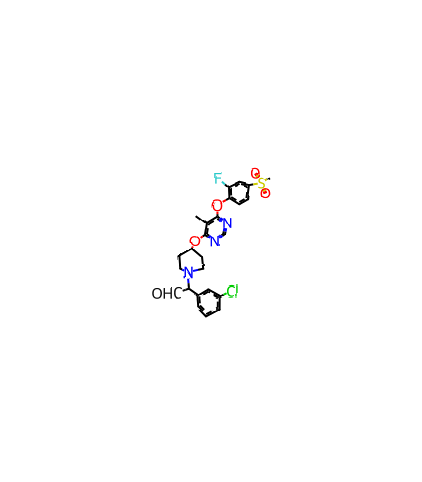 Cc1c(Oc2ccc(S(C)(=O)=O)cc2F)ncnc1OC1CCN(C(C=O)c2cccc(Cl)c2)CC1